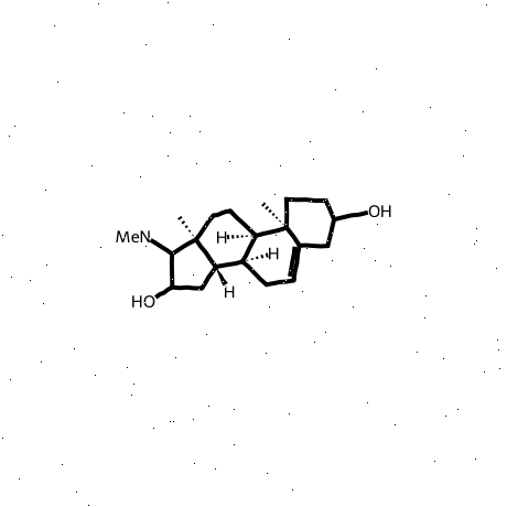 CNC1C(O)C[C@H]2[C@@H]3CC=C4CC(O)CC[C@]4(C)[C@@H]3CC[C@]12C